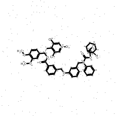 COc1ccc([C@H](Cc2c(Cl)c[n+]([O-])cc2Cl)OC(=O)c2cccc(COc3cccc(CN(C(=O)O[C@H]4CN5CCC4CC5)c4ccccc4)c3)c2)cc1OC